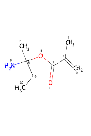 C=C(C)C(=O)OC(C)(N)CC